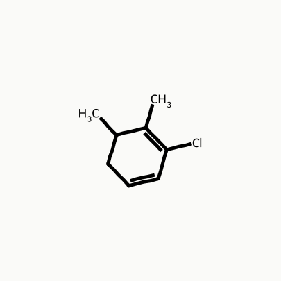 CC1=C(Cl)C=CCC1C